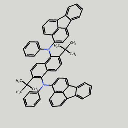 CC(C)(C)c1ccc2c(N(c3ccccc3)c3ccc4c5c(cccc35)-c3ccccc3-4)c(C(C)(C)C)ccc2c1N(c1ccccc1)c1ccc2c3c(cccc13)-c1ccccc1-2